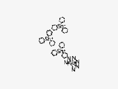 N#[C][Fe-3]([C]#N)([C]#N)([C]#N)([C]#N)[C]#N.c1cc[c]([Sn+]([c]2ccccc2)[c]2ccccc2)cc1.c1cc[c]([Sn+]([c]2ccccc2)[c]2ccccc2)cc1.c1cc[c]([Sn+]([c]2ccccc2)[c]2ccccc2)cc1